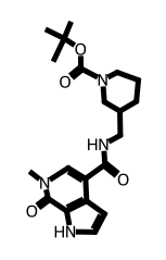 Cn1cc(C(=O)NCC2CCCN(C(=O)OC(C)(C)C)C2)c2cc[nH]c2c1=O